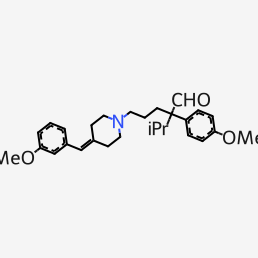 COc1ccc(C(C=O)(CCCN2CCC(=Cc3cccc(OC)c3)CC2)C(C)C)cc1